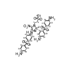 CCS(=O)(=O)CCn1c([N+](=O)[O-])cnc1C.Nc1ccc(S(=O)(=O)c2ccc(N)cc2)cc1.Nc1ccc(S(=O)(=O)c2ccc(N)cc2)cc1